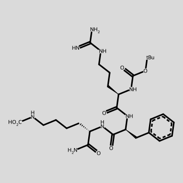 CC(C)(C)OC(=O)N[C@H](CCCNC(=N)N)C(=O)N[C@@H](Cc1ccccc1)C(=O)N[C@@H](CCCCNC(=O)O)C(N)=O